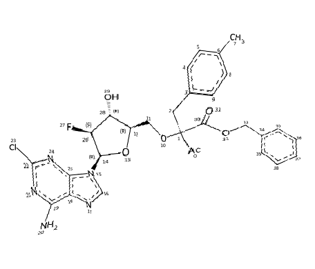 CC(=O)C(Cc1ccc(C)cc1)(OC[C@H]1O[C@@H](n2cnc3c(N)nc(Cl)nc32)[C@@H](F)[C@@H]1O)C(=O)OCc1ccccc1